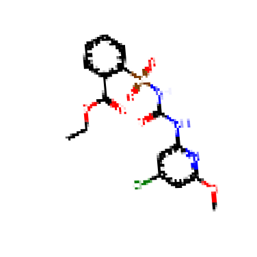 CCOC(=O)c1ccccc1S(=O)(=O)NC(=O)Nc1cc(Cl)cc(OC)n1